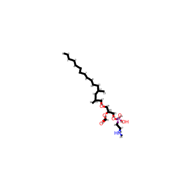 CCCCCCCCCCCCC(C)CC(C)COCC(COP(=O)(O)CCNC)OC=O